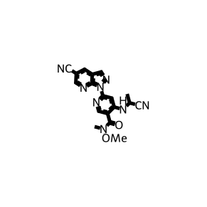 CON(C)C(=O)c1cnc(-n2ncc3cc(C#N)cnc32)cc1NC(C)C#N